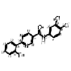 O=C(Nc1ccc(Cl)c(Cl)c1)c1ccc(-c2ccccc2F)nc1